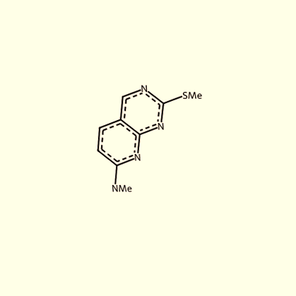 CNc1ccc2cnc(SC)nc2n1